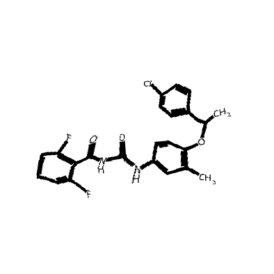 Cc1cc(NC(=O)NC(=O)c2c(F)cccc2F)ccc1OC(C)c1ccc(Cl)cc1